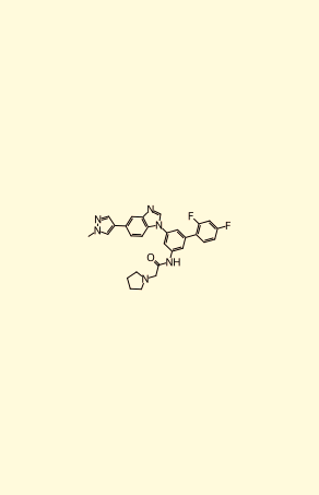 Cn1cc(-c2ccc3c(c2)ncn3-c2cc(NC(=O)CN3CCCC3)cc(-c3ccc(F)cc3F)c2)cn1